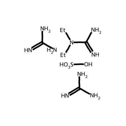 CCN(CC)C(=N)N.N=C(N)N.N=C(N)N.O=S(=O)(O)O